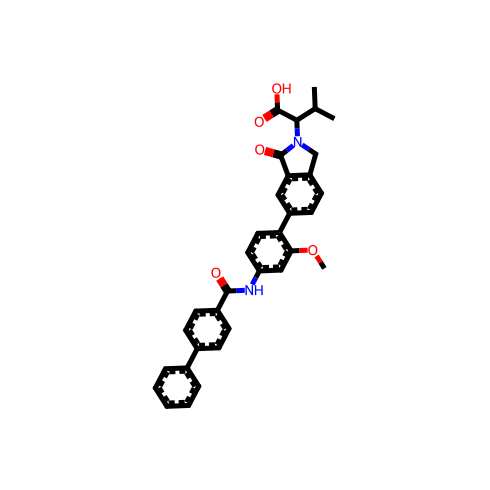 COc1cc(NC(=O)c2ccc(-c3ccccc3)cc2)ccc1-c1ccc2c(c1)C(=O)N(C(C(=O)O)C(C)C)C2